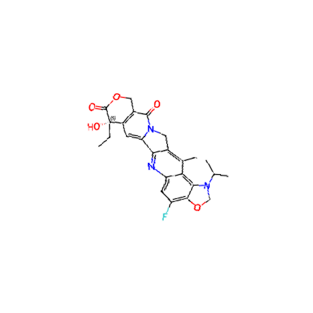 CC[C@@]1(O)C(=O)OCc2c1cc1n(c2=O)Cc2c-1nc1cc(F)c3c(c1c2C)N(C(C)C)CO3